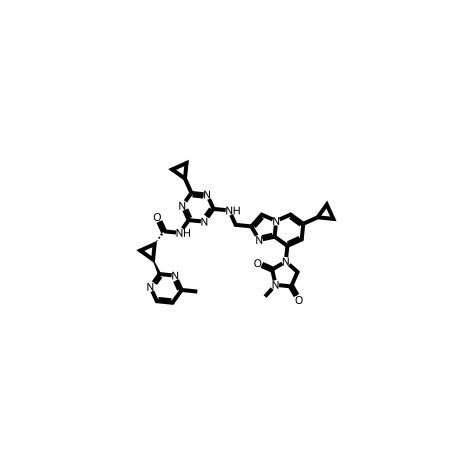 Cc1ccnc([C@H]2C[C@@H]2C(=O)Nc2nc(NCc3cn4cc(C5CC5)cc(N5CC(=O)N(C)C5=O)c4n3)nc(C3CC3)n2)n1